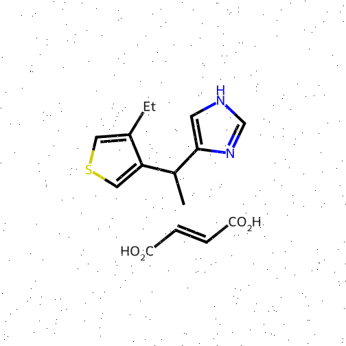 CCc1cscc1C(C)c1c[nH]cn1.O=C(O)/C=C/C(=O)O